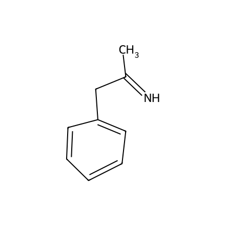 CC(=N)Cc1ccccc1